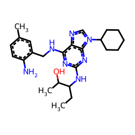 CCC(Nc1nc(NCc2cc(C)ccc2N)c2ncn(C3CCCCC3)c2n1)C(C)O